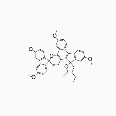 CCCCC1(OCC)c2cc(OC)ccc2-c2c1c1c(c3cc(OC)ccc23)OC(c2ccc(OC)cc2)(c2ccc(OC)cc2)C=C1